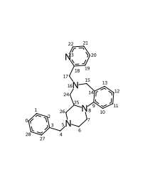 c1ccc(CN2CCN3c4ccccc4CN(Cc4ccccn4)CC3C2)cc1